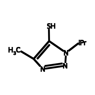 Cc1nnn(C(C)C)c1S